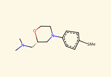 CSc1ccc(N2CCO[C@@H](CN(C)C)C2)cc1